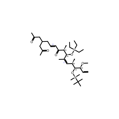 C=C[C@H](OC)[C@@H](O[Si](C)(C)C(C)(C)C)[C@H](C)/C=C(/C)[C@H](O[Si](CC)(CC)CC)[C@H](C)C(=O)/C=C/CC(CC(C)=O)CC(C)=O